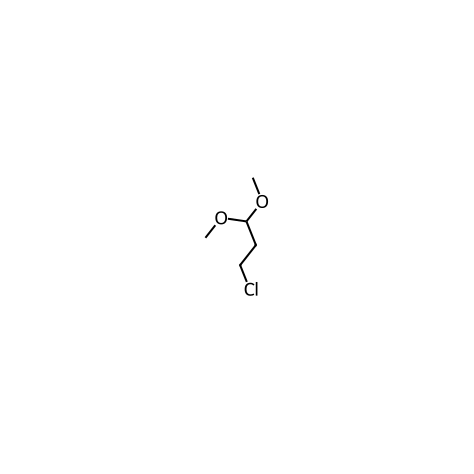 COC(CCCl)OC